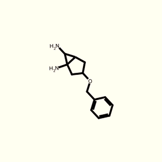 NC1C2CC(OCc3ccccc3)CC12N